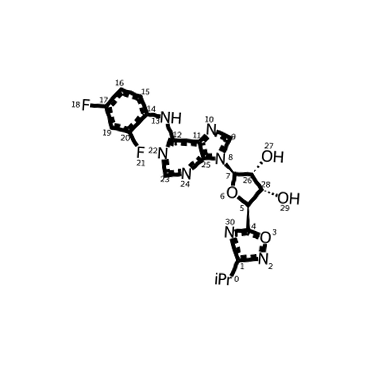 CC(C)c1noc([C@H]2O[C@@H](n3cnc4c(Nc5ccc(F)cc5F)ncnc43)[C@H](O)[C@@H]2O)n1